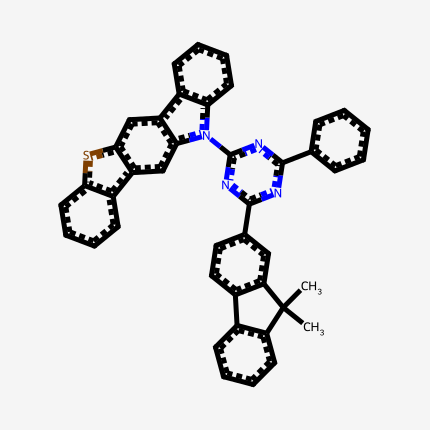 CC1(C)c2ccccc2-c2ccc(-c3nc(-c4ccccc4)nc(-n4c5ccccc5c5cc6sc7ccccc7c6cc54)n3)cc21